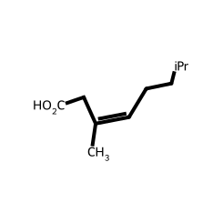 CC(=CCCC(C)C)CC(=O)O